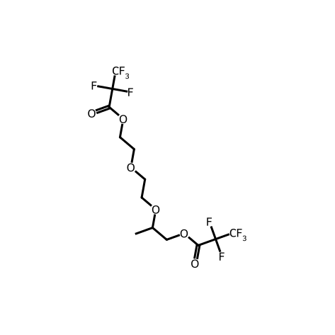 CC(COC(=O)C(F)(F)C(F)(F)F)OCCOCCOC(=O)C(F)(F)C(F)(F)F